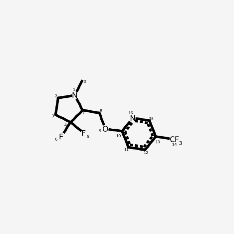 CN1CCC(F)(F)C1COc1ccc(C(F)(F)F)cn1